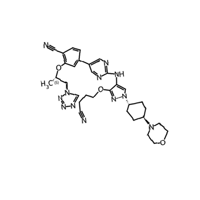 C[C@@H](Cn1cnnn1)Oc1cc(-c2cnc(Nc3cn([C@H]4CC[C@H](N5CCOCC5)CC4)nc3OCCCC#N)nc2)ccc1C#N